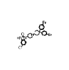 O=c1[nH]c2cc(Cl)ccc2n1C1CCN(C2CCC(c3ccc(Br)cc3)(c3ccc(Br)cc3)CC2)CC1